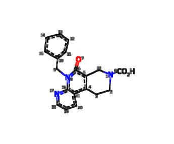 O=C(O)N1CCc2c(c(=O)n(Cc3ccccc3)c3ncccc23)C1